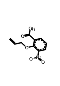 C=CCOc1c(C(=O)O)cccc1[N+](=O)[O-]